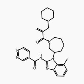 C=C(CN1CCCCC1)C(=O)N1CCCCC(n2c(NC(=O)c3ccnnc3)nc3cccc(C)c32)C1